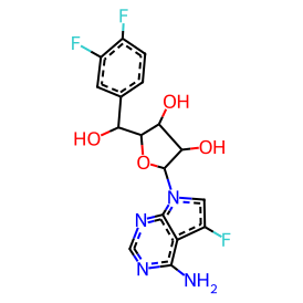 Nc1ncnc2c1c(F)cn2C1OC(C(O)c2ccc(F)c(F)c2)C(O)C1O